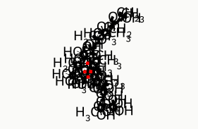 C=CC(C)(O)CC/C=C(\CO)C(=C)O[C@@H]1C(C)O[C@@H](O[C@](C)(C=C)CC/C=C(\CO)C(=O)O[C@H]2C[C@@]3(C(=O)O[C@@H]4OC(CO)[C@@H](O)[C@H](O)C4O[C@@H]4OC(C)[C@H](O[C@@H]5O[C@@H](CO)[C@H](O)[C@@H]5O)C(O[C@@H]5OC(CO)[C@@H](O)[C@H](O)C5O)[C@@H]4O)C(CC2(C)C)C2=CC(=O)C4[C@@]5(C)CC[C@H](O[C@@H]6OC(CO[C@@H]7OC(C)[C@H](O)[C@H](O)C7O[C@@H]7OC[C@@H](O)[C@H](O)C7O)[C@@H](O)[C@H](O)C6NC(C)=O)C(C)(C)C5CC[C@@]4(C)[C@]2(C)C[C@H]3O)C(O)[C@H]1O